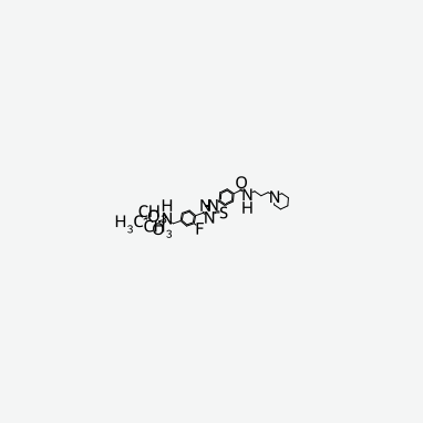 CC(C)(C)OC(=O)NCc1ccc(-c2nc3sc4cc(C(=O)NCCCN5CCCCC5)ccc4n3n2)c(F)c1